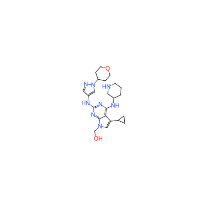 OCn1cc(C2CC2)c2c(N[C@@H]3CCCNC3)nc(Nc3cnn(C4CCOCC4)c3)nc21